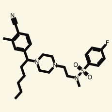 CCCCCC(c1ccc(C#N)c(C)c1)N1CCN(CCN(C)S(=O)(=O)c2ccc(F)cc2)CC1